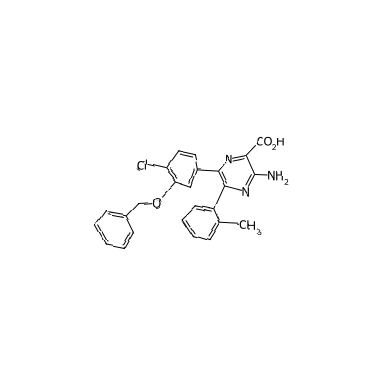 Cc1ccccc1-c1nc(N)c(C(=O)O)nc1-c1ccc(Cl)c(OCc2ccccc2)c1